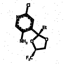 CC[C@@]1(c2cc(Cl)ncc2N)OC[C@@H](C(F)(F)F)O1